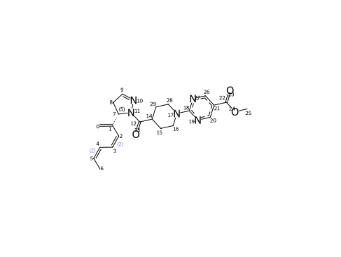 C=C(/C=C\C=C/C)[C@@H]1CC=NN1C(=O)C1CCN(c2ncc(C(=O)OC)cn2)CC1